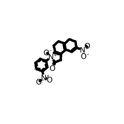 O=C1CC2=C(CCC3=C2C=C([N+](=O)[O-])CC3)[N+]1([O-])c1cc[c]c([N+](=O)[O-])c1